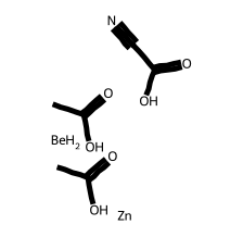 CC(=O)O.CC(=O)O.N#CC(=O)O.[BeH2].[Zn]